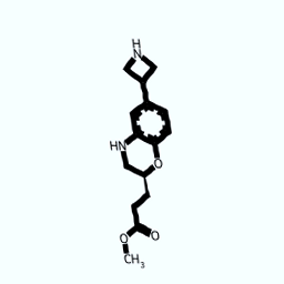 COC(=O)CC[C@H]1CNc2cc(C3CNC3)ccc2O1